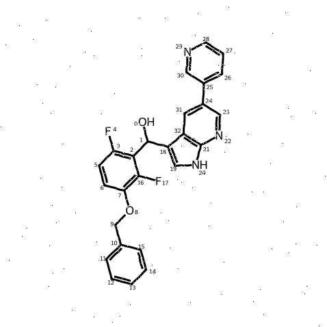 OC(c1c(F)ccc(OCc2ccccc2)c1F)c1c[nH]c2ncc(-c3cccnc3)cc12